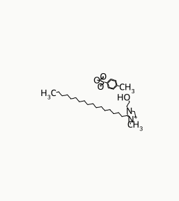 CCCCCCCCCCCCCCCCCC1=[N+](C)CCN1CCO.Cc1ccc(S(=O)(=O)[O-])cc1